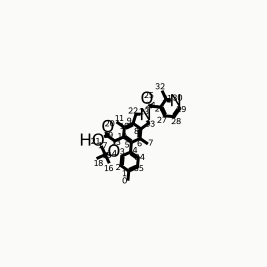 Cc1ccc(-c2c(C)c3c(c(C)c2[C@H](OC(C)(C)C)C(=O)O)CN(C(=O)c2cccnc2C)C3)cc1